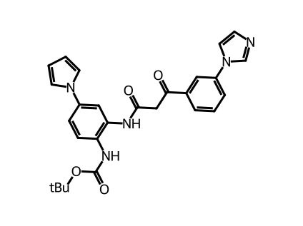 CC(C)(C)OC(=O)Nc1ccc(-n2cccc2)cc1NC(=O)CC(=O)c1cccc(-n2ccnc2)c1